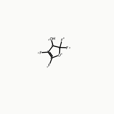 OC1C(F)=C(F)OC1(F)F